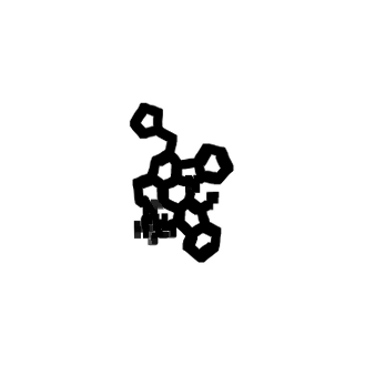 Cc1c2ccccc2c(F)c2c1c1c3c(cc[n+]1C)cc(CC1CCCC1)c1c4ccccc4n2c13